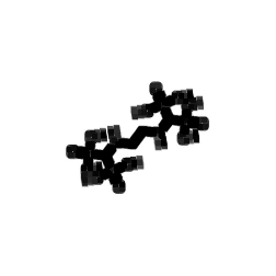 O=P(O)(O)C(NCCNC(P(=O)(O)O)P(=O)(O)O)P(=O)(O)O